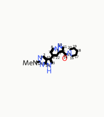 CNc1ncc2c(-c3ccn4ncc(C(=O)N5CCCCC5)c4c3)c[nH]c2n1